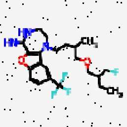 CCC(CF)COCC(C)CCN1CCNC(=N)c2oc3ccc(C(F)(F)F)cc3c21